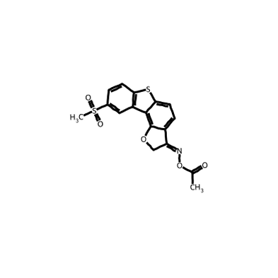 CC(=O)ON=C1COc2c1ccc1sc3ccc(S(C)(=O)=O)cc3c21